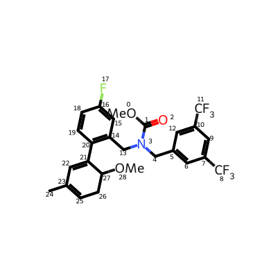 COC(=O)N(Cc1cc(C(F)(F)F)cc(C(F)(F)F)c1)Cc1cc(F)ccc1C1=CC(C)=CCC1OC